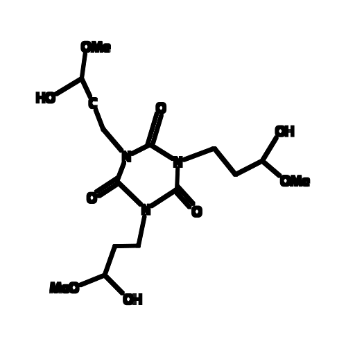 COC(O)CCn1c(=O)n(CCC(O)OC)c(=O)n(CCC(O)OC)c1=O